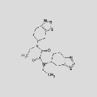 CCN(C(=O)C(=O)N(CC)C1CCc2ncsc2C1)C1CCc2ncsc2C1